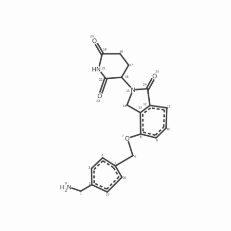 NCc1ccc(COc2cccc3c2CN(C2CCC(=O)NC2=O)C3=O)cc1